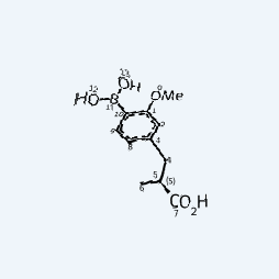 COc1cc(C[C@H](C)C(=O)O)ccc1B(O)O